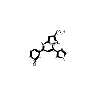 O=C(O)c1cc2nc(-c3cccc(Cl)c3)cc(-c3ccsc3)n2n1